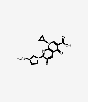 O=C(O)c1cn(C2CC2)c2nc(N3CCC([AsH2])C3)c(F)cc2c1=O